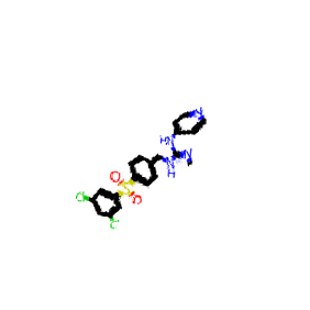 C/N=C(\NCc1ccc(S(=O)(=O)c2cc(Cl)cc(Cl)c2)cc1)Nc1ccncc1